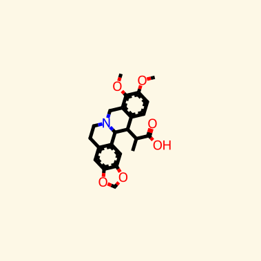 COc1ccc2c(c1OC)CN1CCc3cc4c(cc3C1C2C(C)C(=O)O)OCO4